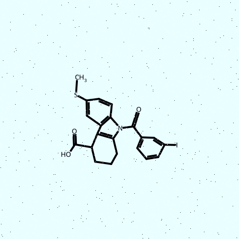 CSc1ccc2c(c1)c1c(n2C(=O)c2cccc(I)c2)CCCC1C(=O)O